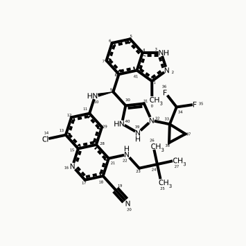 Cc1n[nH]c2cccc([C@H](Nc3cc(Cl)c4ncc(C#N)c(NCC(C)(C)C)c4c3)C3=CN(C4(C(F)F)CC4)NN3)c12